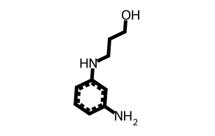 Nc1cccc(NCCCO)c1